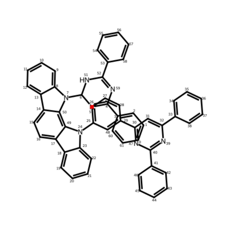 c1ccc(C2=NC(n3c4ccccc4c4ccc5c6ccccc6n(-c6cccc(-c7cc(-c8ccccc8)nc(-c8ccccc8)n7)c6)c5c43)NC(c3ccccc3)=N2)cc1